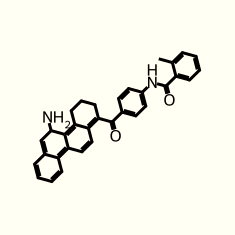 Cc1ccccc1C(=O)Nc1ccc(C(=O)C2=c3ccc4c(c3CCC2)C(N)C=c2ccccc2=4)cc1